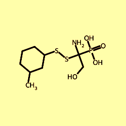 CC1CCCC(SSC(N)(CO)P(=O)(O)O)C1